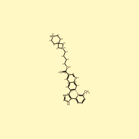 Cc1cccc(-c2[nH]cnc2-c2ccc3ncc(C(=O)OCCCCN4CC5(CCNCC5)C4)cc3c2)n1